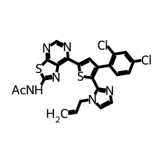 C=CCn1ccnc1-c1sc(-c2ncnc3sc(NC(C)=O)nc23)cc1-c1ccc(Cl)cc1Cl